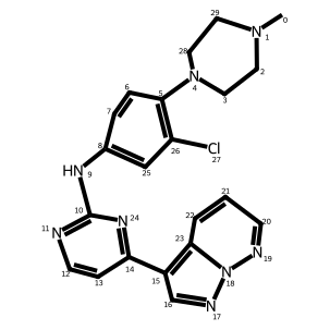 CN1CCN(c2ccc(Nc3nccc(-c4cnn5ncccc45)n3)cc2Cl)CC1